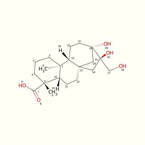 C[C@@]12CCC[C@@](C)(C(=O)O)[C@H]1CC[C@]13C[C@@](O)(CO)[C@](O)(CC[C@H]12)C3